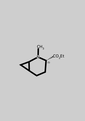 CCOC(=O)[C@@H]1CCC2CC2N1C